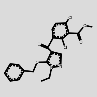 CCn1ncc(C(=O)c2ccc(Cl)c(C(=O)OC)c2Cl)c1OCc1ccccc1